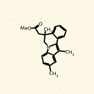 COC(=O)CC1(C)Cn2c(c(C)c3cc(C)ccc32)-c2ccccc21